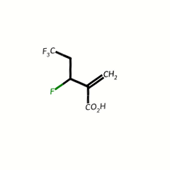 C=C(C(=O)O)C(F)CC(F)(F)F